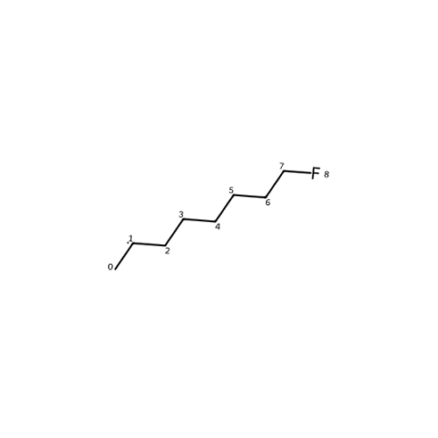 C[CH]CCCCCCF